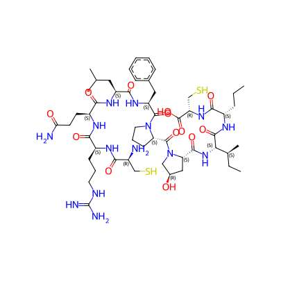 CCC[C@H](NC(=O)[C@@H](NC(=O)[C@@H]1C[C@@H](O)CN1C(=O)[C@@H]1CCCN1C(=O)[C@H](Cc1ccccc1)NC(=O)[C@H](CC(C)C)NC(=O)[C@H](CCC(N)=O)NC(=O)[C@H](CCCNC(=N)N)NC(=O)[C@@H](N)CS)[C@@H](C)CC)C(=O)N[C@@H](CS)C(=O)O